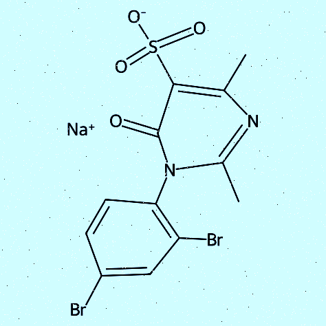 Cc1nc(C)n(-c2ccc(Br)cc2Br)c(=O)c1S(=O)(=O)[O-].[Na+]